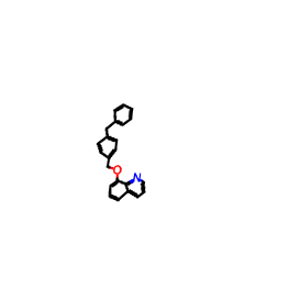 c1ccc(Cc2ccc(COc3cccc4cccnc34)cc2)cc1